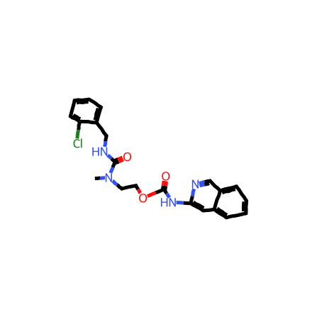 CN(CCOC(=O)Nc1cc2ccccc2cn1)C(=O)NCc1ccccc1Cl